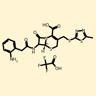 Cc1nnc(SCC2=C(C(=O)O)N3C(=O)C(NC(=O)Cc4ccccc4N)[C@H]3SC2)s1.O=C(O)C(F)(F)F